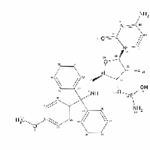 COc1ccc(C(NC[C@H]2O[C@@H](n3ccc(N)nc3=O)[C@H](F)[C@@H]2OP(N)O)(c2ccccc2)c2ccccc2)cc1